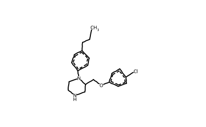 CCCc1ccc(N2CCNCC2COc2ccc(Cl)cc2)cc1